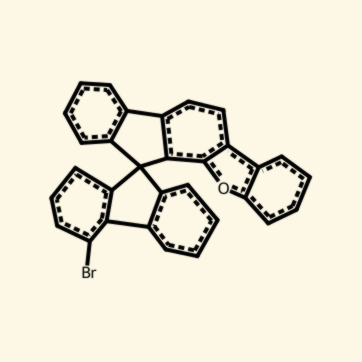 Brc1cccc2c1-c1ccccc1C21c2ccccc2-c2ccc3c(oc4ccccc43)c21